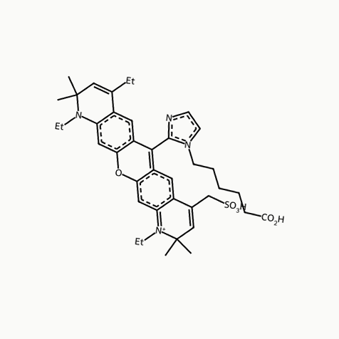 CCC1=CC(C)(C)N(CC)c2cc3c(cc21)C(c1nccn1CCCCCC(=O)O)=c1cc2c(cc1O3)=[N+](CC)C(C)(C)C=C2CS(=O)(=O)O